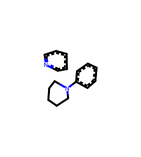 c1ccc(N2CCCCC2)cc1.c1ccncc1